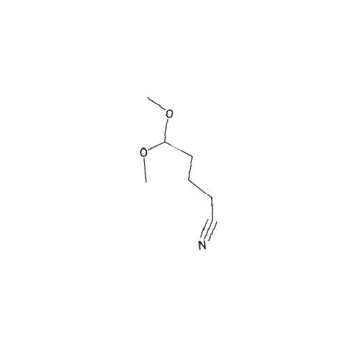 COC(CCCC#N)OC